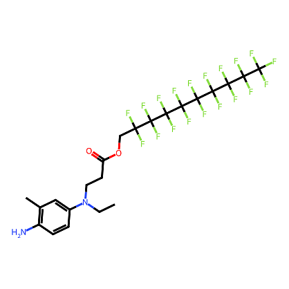 CCN(CCC(=O)OCC(F)(F)C(F)(F)C(F)(F)C(F)(F)C(F)(F)C(F)(F)C(F)(F)C(F)(F)C(F)(F)F)c1ccc(N)c(C)c1